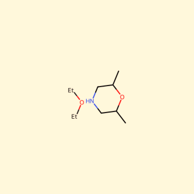 CC1CNCC(C)O1.CCOCC